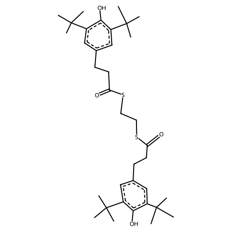 CC(C)(C)c1cc(CCC(=O)SCCSC(=O)CCc2cc(C(C)(C)C)c(O)c(C(C)(C)C)c2)cc(C(C)(C)C)c1O